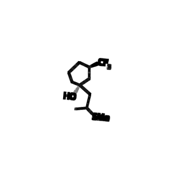 CSC(C)C[C@@]1(O)CCC[C@@H](C(F)(F)F)C1